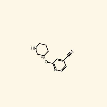 N#Cc1ccnc(O[C@H]2CCCNC2)c1